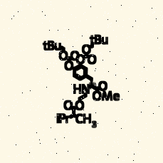 COC(=O)[C@H](Cc1ccc(OC(=O)OCC(C)(C)C)c(OC(=O)OCC(C)(C)C)c1)NCCOC(=O)C(C)C(C)C